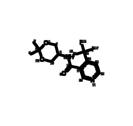 CC1(C)OCC(NC(=O)c2cnccc2C(F)(F)F)CO1